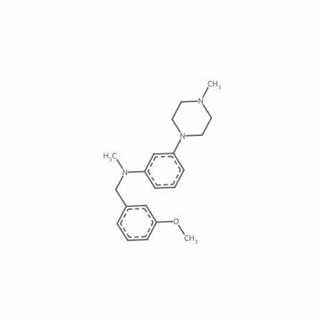 COc1cccc(CN(C)c2cccc(N3CCN(C)CC3)c2)c1